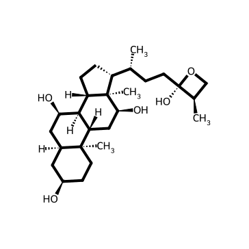 C[C@H](CC[C@@]1(O)OC[C@H]1C)[C@H]1CC[C@H]2[C@@H]3[C@H](O)C[C@@H]4C[C@H](O)CC[C@]4(C)[C@H]3C[C@H](O)[C@]12C